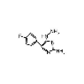 NNc1nc(N)ncc1-c1ccc(F)cc1